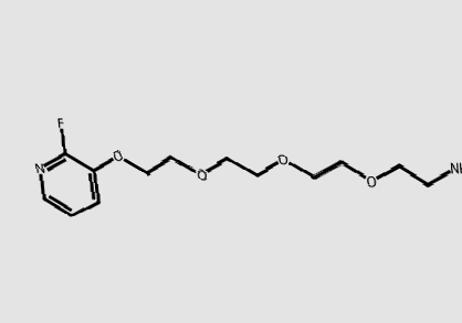 NCCOCCOCCOCCOc1cccnc1F